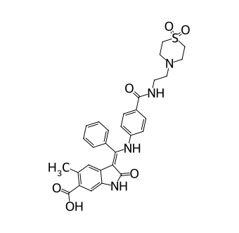 Cc1cc2c(cc1C(=O)O)NC(=O)/C2=C(\Nc1ccc(C(=O)NCCN2CCS(=O)(=O)CC2)cc1)c1ccccc1